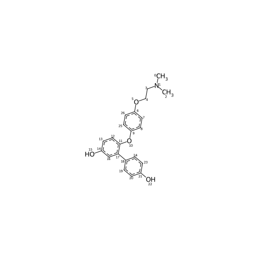 CN(C)CCOc1ccc(Oc2ccc(O)cc2-c2ccc(O)cc2)cc1